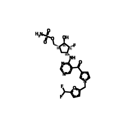 NS(=O)(=O)OC[C@H]1C[C@@H](Nc2ncncc2C(=O)c2ccn(Cc3ccc(C(F)F)o3)c2)[C@@H](F)[C@@H]1O